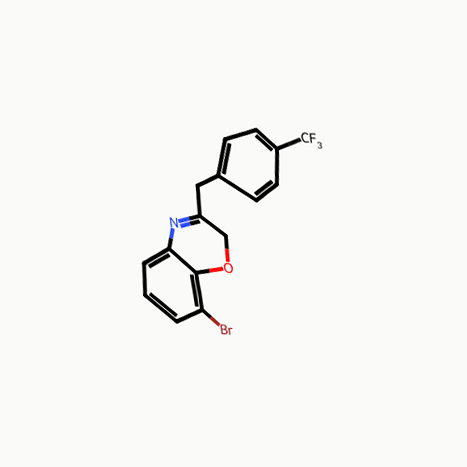 FC(F)(F)c1ccc(CC2=Nc3cccc(Br)c3OC2)cc1